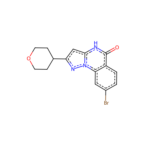 O=c1[nH]c2cc(C3CCOCC3)nn2c2cc(Br)ccc12